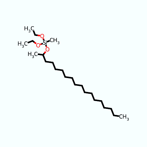 CCCCCCCCCCCCCCCCC(C)O[Si](C)(OCC)OCC